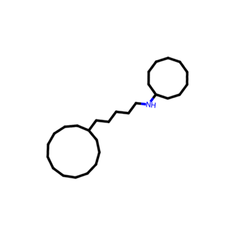 C1CCCCCCC(CCCCCNC2CCCCCCCCC2)CCCCC1